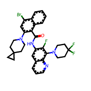 O=C(Nc1cc2cccnc2c(N2CCC(F)(F)CC2)c1F)c1c(N2CCC3(CC2)CC3)cc(Br)c2ccccc12